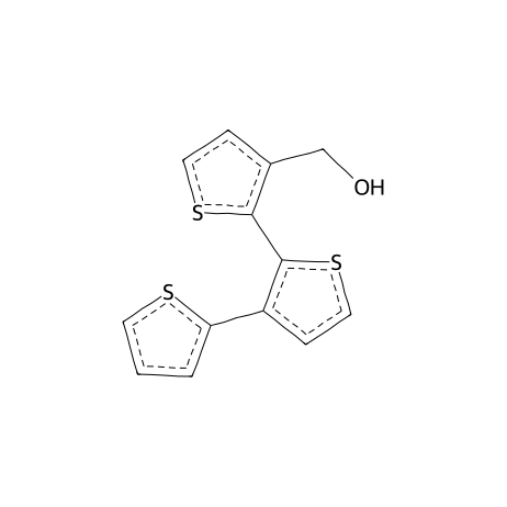 OCc1ccsc1-c1sccc1-c1cccs1